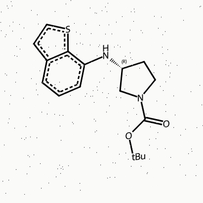 CC(C)(C)OC(=O)N1CC[C@@H](Nc2cccc3ccsc23)C1